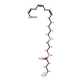 CCCCC/C=C\C/C=C\C/C=C\CCCCCOCCCOC(=O)CCCN